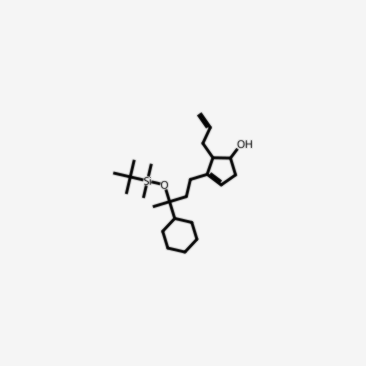 C=CCC1C(CCC(C)(O[Si](C)(C)C(C)(C)C)C2CCCCC2)=CCC1O